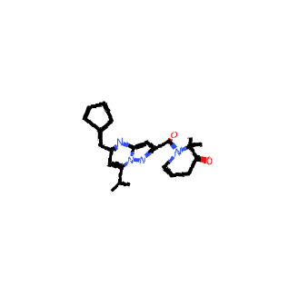 CC(C)c1cc(CC2CCCC2)nc2cc(C(=O)N3CCCC(=O)C3(C)C)nn12